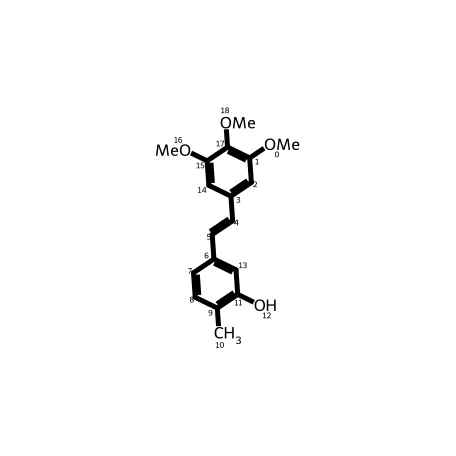 COc1cc(C=Cc2ccc(C)c(O)c2)cc(OC)c1OC